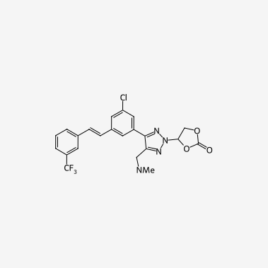 CNCc1nn(C2COC(=O)O2)nc1-c1cc(Cl)cc(/C=C/c2cccc(C(F)(F)F)c2)c1